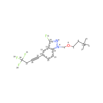 C[Si](C)(C)CCOCn1nc(F)c2cc(C#CCC(F)(F)F)ccc21